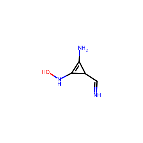 N=CC1C(N)=C1NO